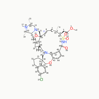 COCC[C@@H]1[C@@H](C)C/C=C/[C@@](CN2C[C@@H](C)N(C)[C@@H](C)C2)(OC)[C@@H]2CC[C@H]2CN2C[C@@]3(CCCc4cc(Cl)ccc43)COc3ccc(cc32)C(=O)NS1(=O)=O